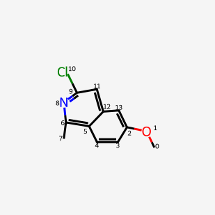 COc1ccc2c(C)nc(Cl)cc2c1